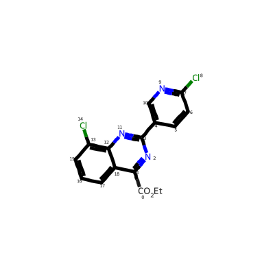 CCOC(=O)c1nc(-c2ccc(Cl)nc2)nc2c(Cl)cccc12